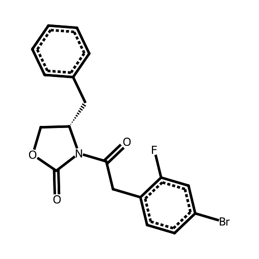 O=C(Cc1ccc(Br)cc1F)N1C(=O)OC[C@@H]1Cc1ccccc1